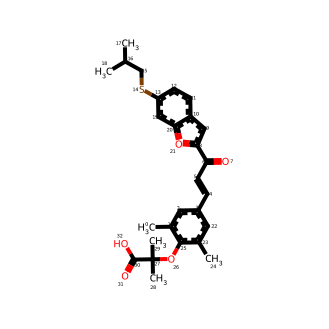 Cc1cc(/C=C/C(=O)c2cc3ccc(SCC(C)C)cc3o2)cc(C)c1OC(C)(C)C(=O)O